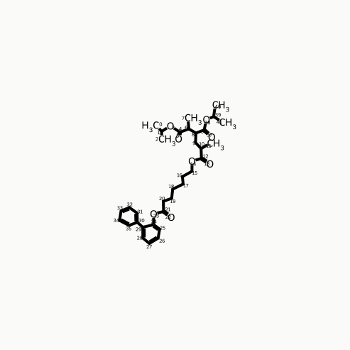 CC(C)OC(=O)C(C)C(CC(C)C(=O)OCCCCCCC(=O)Oc1ccccc1-c1ccccc1)C(=O)OC(C)C